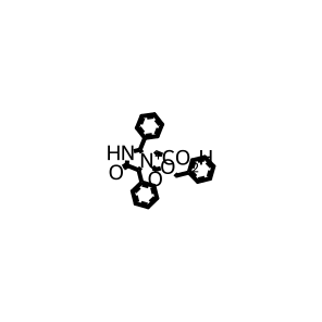 O=C(O)C[N+]1(C(=O)OCc2ccccc2)C(c2ccccc2)NC(=O)C1c1ccccc1